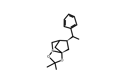 CC(c1ccccc1)[C@H]1C[C@]23CC1CN2OC(C)(C)O3